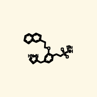 CC(C)(C)NS(=O)(=O)CCc1ccc(Cc2cc[nH]n2)cc1OCCc1ccc2ccccc2c1